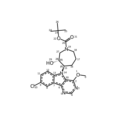 COc1ncnc2c3cc(Cl)ccc3n([C@@H]3CCCN(C(=O)OC(C)(C)C)C[C@H]3O)c12